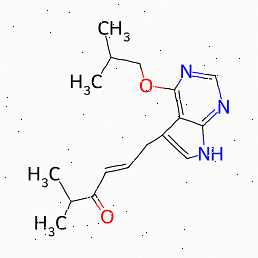 CC(C)COc1ncnc2[nH]cc(CC=CC(=O)C(C)C)c12